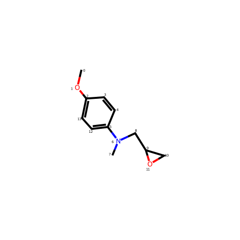 COc1ccc(N(C)CC2CO2)cc1